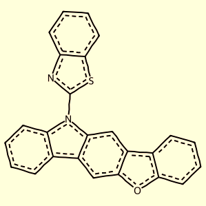 c1ccc2sc(-n3c4ccccc4c4cc5oc6ccccc6c5cc43)nc2c1